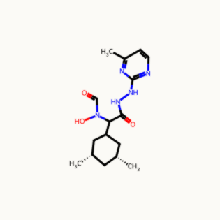 Cc1ccnc(NNC(=O)C(C2C[C@@H](C)C[C@@H](C)C2)N(O)C=O)n1